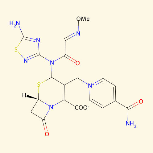 CON=CC(=O)N(c1nsc(N)n1)C1S[C@H]2CC(=O)N2C(C(=O)[O-])=C1C[n+]1ccc(C(N)=O)cc1